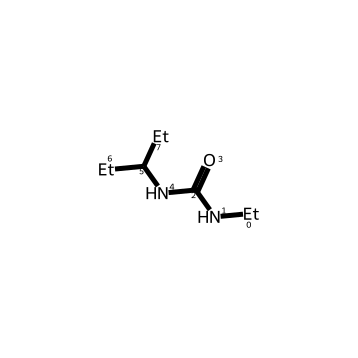 CCNC(=O)NC(CC)CC